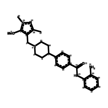 COc1c(CN2CCC(c3ccc(C(=O)Nc4ccccc4N)cc3)CC2)c(C)nn1C